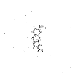 N#Cc1ccc(Oc2ccc(N)cc2)c(F)c1